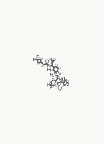 Cc1nonc1C(=O)N[C@H](c1nc2ccc(C(NC(=O)CC3CC(F)(F)C3)C3CC3)cc2[nH]1)[C@@H]1CCC(F)(F)CO1